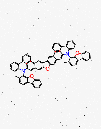 Cc1ccc2c(oc3ccccc32)c1N(c1ccc2cc3c(cc2c1)oc1cc2cc(N(c4ccccc4-c4ccccc4)c4c(C)ccc5c4oc4ccccc45)ccc2cc13)c1ccccc1-c1ccccc1